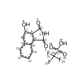 O=C1NC(=O)c2c1c(O)cc1ccccc21.O=S(=O)(O)C(F)(F)F